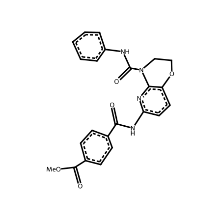 COC(=O)c1ccc(C(=O)Nc2ccc3c(n2)N(C(=O)Nc2ccccc2)CCO3)cc1